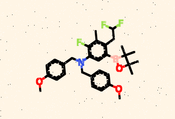 COc1ccc(CN(Cc2ccc(OC)cc2)c2cc(B3OC(C)(C)C3(C)C)c(CC(F)F)c(C)c2F)cc1